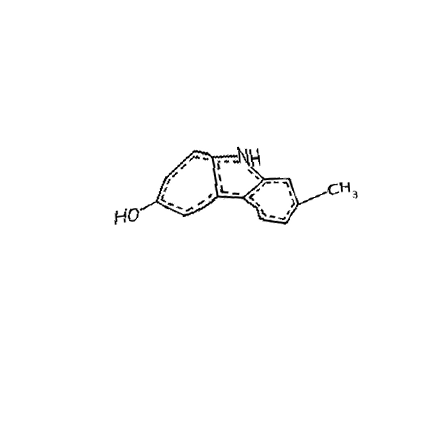 Cc1ccc2c(c1)[nH]c1ccc(O)cc12